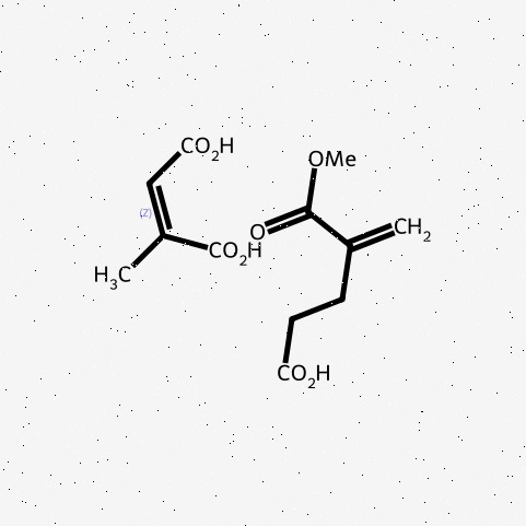 C/C(=C/C(=O)O)C(=O)O.C=C(CCC(=O)O)C(=O)OC